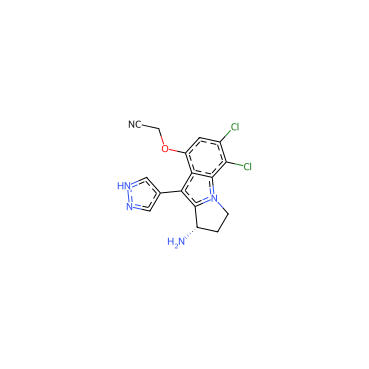 N#CCOc1cc(Cl)c(Cl)c2c1c(-c1cn[nH]c1)c1n2CC[C@@H]1N